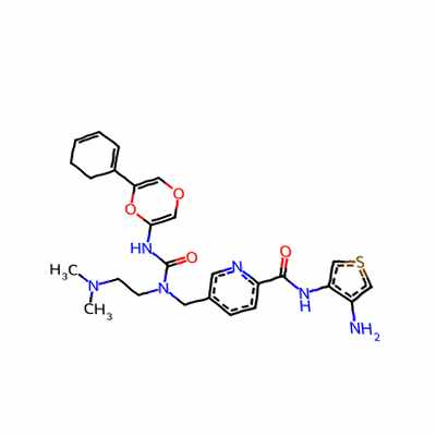 CN(C)CCN(Cc1ccc(C(=O)Nc2cscc2N)nc1)C(=O)NC1=COC=C(C2=CC=CCC2)O1